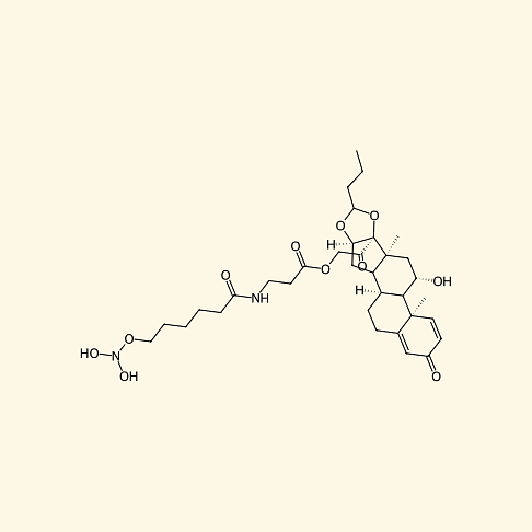 CCCC1O[C@@H]2CC3[C@@H]4CCC5=CC(=O)C=C[C@]5(C)C4[C@@H](O)C[C@]3(C)[C@]2(C(=O)COC(=O)CCNC(=O)CCCCCON(O)O)O1